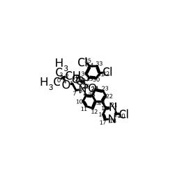 CC(C)(C)OC(=O)CN(c1cccc2c(-c3ccnc(Cl)n3)cccc12)S(=O)(=O)c1cc(Cl)cc(Cl)c1